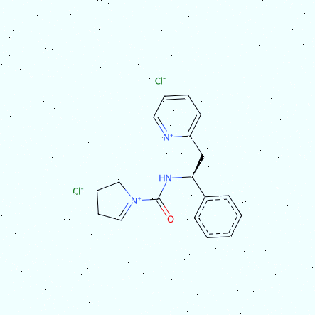 O=C(N[C@@H](CC1=CC=CC=[N+]1)c1ccccc1)[N+]1=CCCC1.[Cl-].[Cl-]